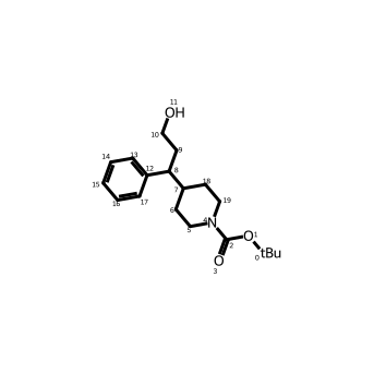 CC(C)(C)OC(=O)N1CCC(C(CCO)c2ccccc2)CC1